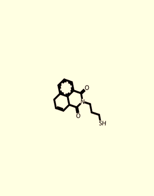 O=C1c2cccc3c2C(C=CC3)C(=O)N1CCCS